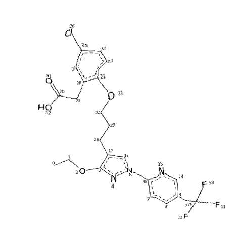 CCOc1nn(-c2ccc(C(F)(F)F)cn2)cc1CCCOc1ccc(Cl)cc1CC(=O)O